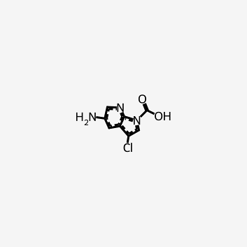 Nc1cnc2c(c1)c(Cl)cn2C(=O)O